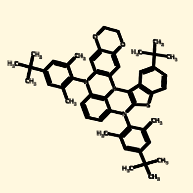 Cc1cc(C(C)(C)C)cc(C)c1N1c2cc3c(cc2B2c4c1cccc4N(c1c(C)cc(C(C)(C)C)cc1C)c1sc4ccc(C(C)(C)C)cc4c12)OCCO3